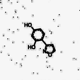 Oc1ccc(-c2ccon2)c(O)c1